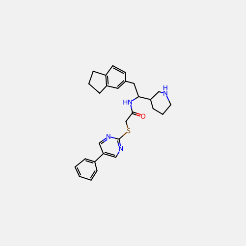 O=C(CSc1ncc(-c2ccccc2)cn1)NC(Cc1ccc2c(c1)CCC2)C1CCCNC1